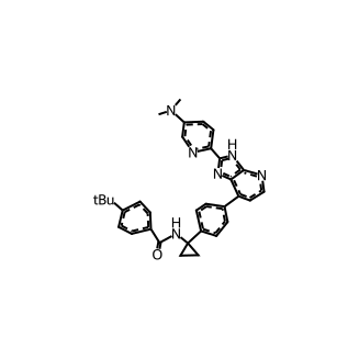 CN(C)c1ccc(-c2nc3c(-c4ccc(C5(NC(=O)c6ccc(C(C)(C)C)cc6)CC5)cc4)ccnc3[nH]2)nc1